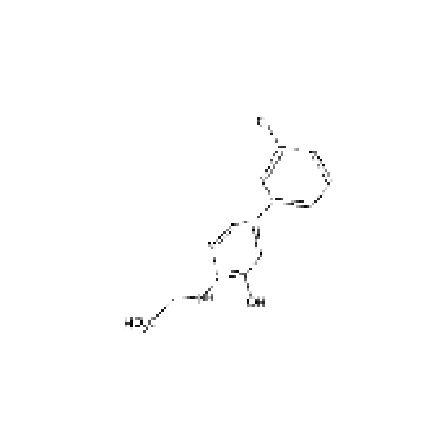 O=C(O)CNc1ncc(-c2cccc(Cl)c2)cc1O